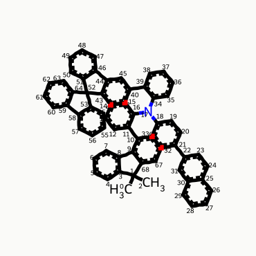 CC1(C)c2ccccc2-c2c(-c3ccccc3N(c3ccc(-c4ccc5ccccc5c4)cc3)c3ccccc3-c3ccc4c(c3)-c3ccccc3C43c4ccccc4-c4ccccc43)cccc21